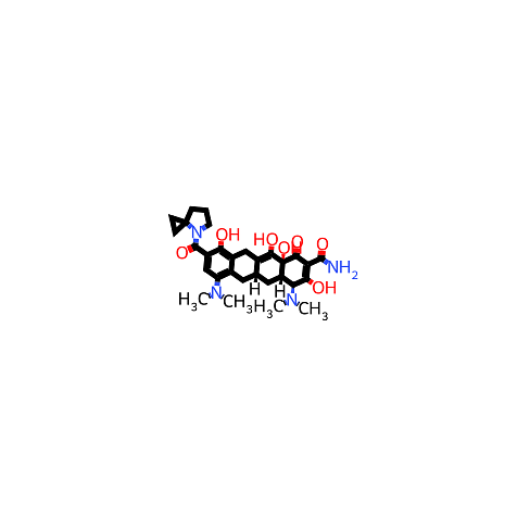 CN(C)c1cc(C(=O)N2CCCC23CC3)c(O)c2c1C[C@H]1C[C@H]3[C@H](N(C)C)C(O)=C(C(N)=O)C(=O)[C@@]3(O)C(O)=C1C2